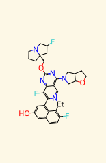 CCc1c(F)ccc2cc(O)cc(-c3ncc4c(N5CC6CCOC6C5)nc(OC[C@@]56CCCN5CC(F)C6)nc4c3F)c12